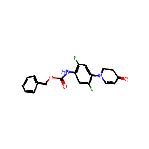 O=C1C=CN(c2cc(F)c(NC(=O)OCc3ccccc3)cc2F)CC1